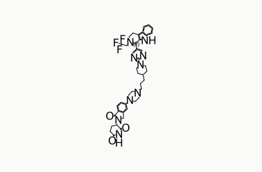 O=C1CCC(N2Cc3cc(N4CCN(CCCC5CCN(c6ncc([C@@H]7c8[nH]c9ccccc9c8CCN7CC(F)(F)F)cn6)CC5)CC4)ccc3C2=O)C(=O)N1